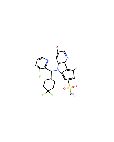 CS(=O)(=O)c1cc(F)c2c3ncc(Br)cc3n(C(c3ncccc3F)C3CCC(F)(F)CC3)c2c1